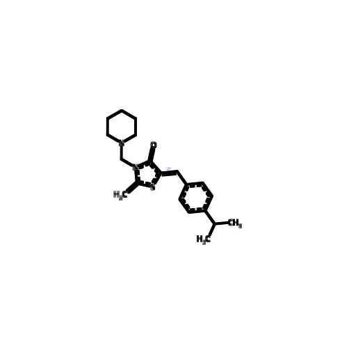 C=c1s/c(=C\c2ccc(C(C)C)cc2)c(=O)n1CN1CCCCC1